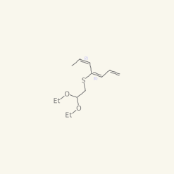 C=C/C=C(\C=C/C)SCC(OCC)OCC